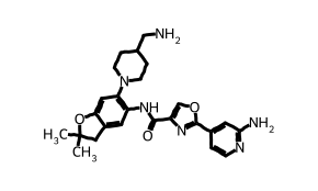 CC1(C)Cc2cc(NC(=O)c3coc(-c4ccnc(N)c4)n3)c(N3CCC(CN)CC3)cc2O1